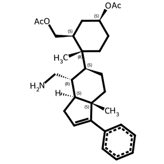 CC(=O)OC[C@H]1C[C@@H](OC(C)=O)CC[C@]1(C)[C@H]1CC[C@]2(C)C(c3ccccc3)=CC[C@H]2[C@@H]1CN